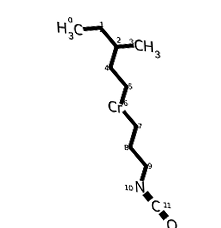 C[CH]C(C)C[CH2][Cr][CH2]CCN=C=O